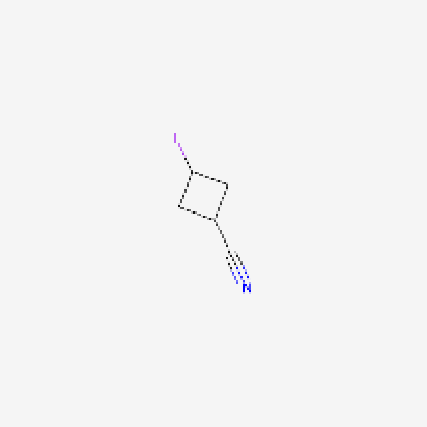 N#CC1CC(I)C1